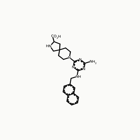 Nc1nc(NCc2ccc3ccccc3c2)nc(N2CCC3(CC2)CNC(C(=O)O)C3)n1